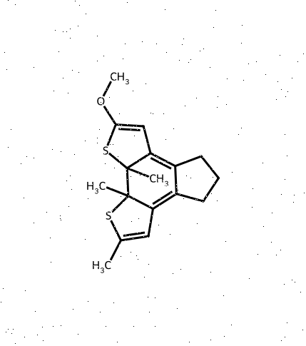 COC1=CC2=C3CCCC3=C3C=C(C)SC3(C)C2(C)S1